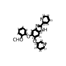 O=Cc1ccccc1Oc1cc2nc(-c3ccccn3)[nH]c2cc1Oc1cccnc1